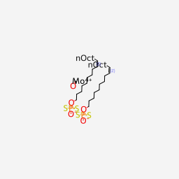 CCCCCCCC/C=C\CCCCCCCCOP([O-])(=S)[S-].CCCCCCCC/C=C\CCCCCCCCOP([O-])(=S)[S-].[O]=[Mo+4]